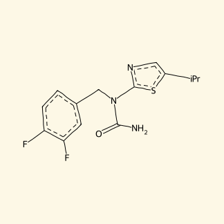 CC(C)c1cnc(N(Cc2ccc(F)c(F)c2)C(N)=O)s1